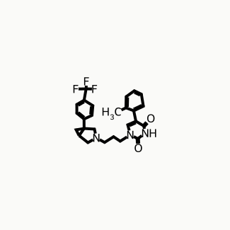 Cc1ccccc1-c1cn(CCCN2CC3CC3(c3ccc(C(F)(F)F)cc3)C2)c(=O)[nH]c1=O